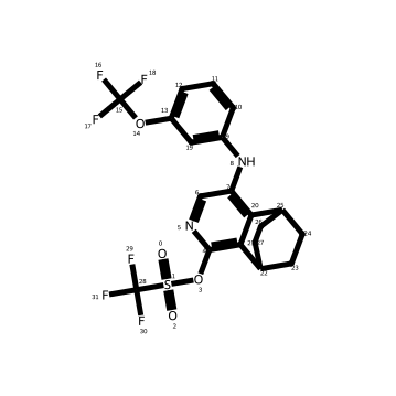 O=S(=O)(Oc1ncc(Nc2cccc(OC(F)(F)F)c2)c2c1C1CCC2CC1)C(F)(F)F